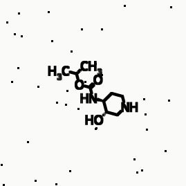 CC(C)OC(=O)N[C@H]1CCNC[C@@H]1O